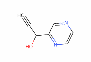 C#CC(O)c1cnccn1